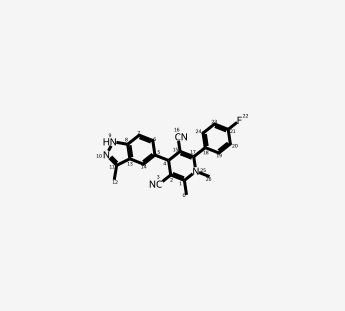 CC1=C(C#N)C(c2ccc3[nH]nc(C)c3c2)C(C#N)=C(c2ccc(F)cc2)N1C